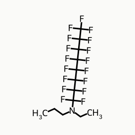 CCCN(CC)C(F)(F)C(F)(F)C(F)(F)C(F)(F)C(F)(F)C(F)(F)C(F)(F)C(F)(F)F